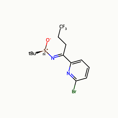 CC(C)(C)[S@@+]([O-])N=C(CCC(F)(F)F)c1cccc(Br)n1